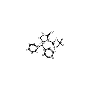 CC(C)(C)OC(=O)N1C(=O)OC[C@H]1C(c1ccccc1)c1ccccc1